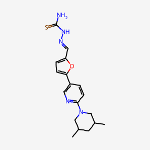 CC1CC(C)CN(c2ccc(-c3ccc(/C=N/NC(N)=S)o3)cn2)C1